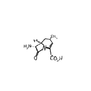 C[C@H]1C=C(C(=O)O)N2C(=O)[C@H](N)[C@@H]2C1